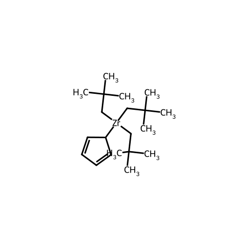 CC(C)(C)[CH2][Zr]([CH2]C(C)(C)C)([CH2]C(C)(C)C)[CH]1C=CC=C1